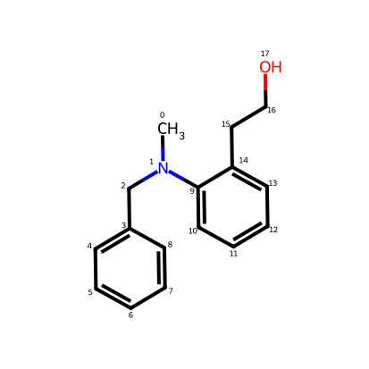 CN(Cc1ccccc1)c1ccccc1CCO